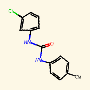 N#Cc1ccc(NC(=O)Nc2cccc(Cl)c2)cc1